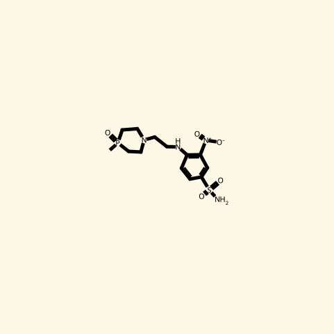 CP1(=O)CCN(CCNc2ccc(S(N)(=O)=O)cc2[N+](=O)[O-])CC1